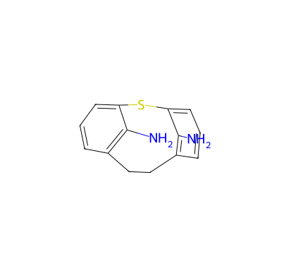 Nc1c2cccc1Sc1cccc(c1N)CC2